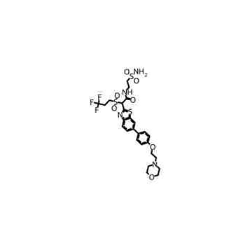 NS(=O)(=O)CCNC(=O)C(c1nc2ccc(-c3ccc(OCCN4CCOCC4)cc3)cc2s1)S(=O)(=O)CCC(F)(F)F